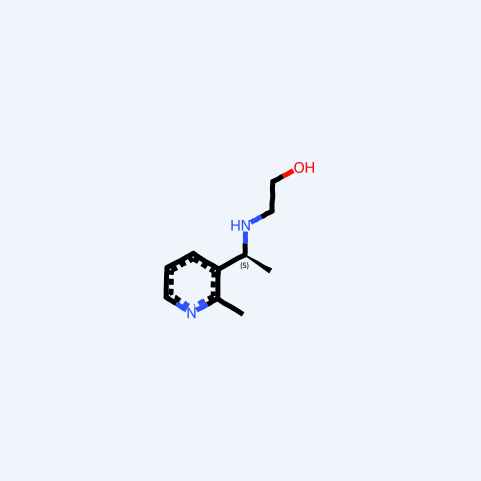 Cc1ncccc1[C@H](C)NCCO